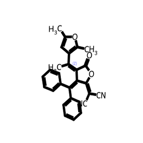 C/C(=C1/C(=O)OC(=C(C#N)C#N)C1=C(c1ccccc1)c1ccccc1)c1cc(C)oc1C